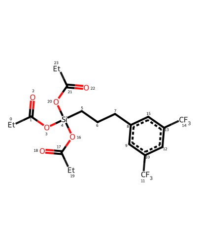 CCC(=O)O[Si](CCCc1cc(C(F)(F)F)cc(C(F)(F)F)c1)(OC(=O)CC)OC(=O)CC